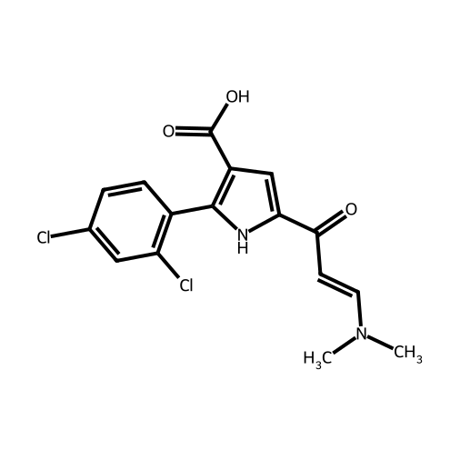 CN(C)/C=C/C(=O)c1cc(C(=O)O)c(-c2ccc(Cl)cc2Cl)[nH]1